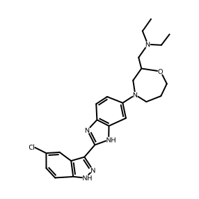 CCN(CC)CC1CN(c2ccc3nc(-c4n[nH]c5ccc(Cl)cc45)[nH]c3c2)CCCO1